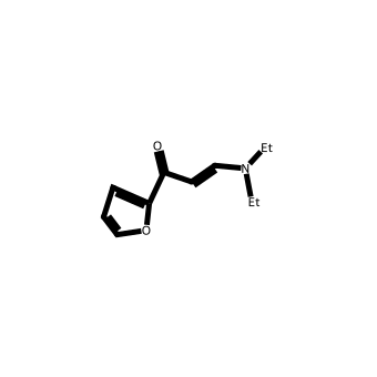 CCN(C=CC(=O)c1ccco1)CC